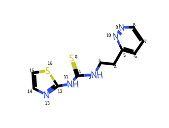 S=C(NCCc1cccnn1)Nc1nccs1